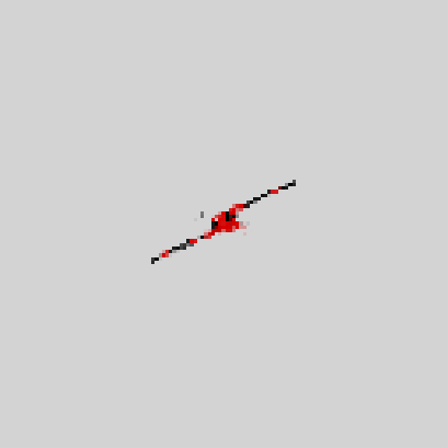 CCCCCCCCCCCCCCCCCCOC(=O)c1cc(C(C)(C)C)c(OC(c2c(C(C)(C)C)cc(C(=O)OCCCCCCCCCCCCCCCCCC)cc2C(C)(C)C)C(CO)(CO)CO)c(C(C)(C)C)c1